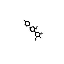 CC1CCC([C@H]2CCC(C3CC(F)C(C)C(F)C3)=C(F)C2)CC1